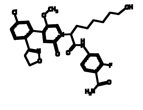 COc1cn(C(CCCCCCO)C(=O)Nc2ccc(C(N)=O)c(F)c2)c(=O)cc1-c1cc(Cl)ccc1C1=NOCC1